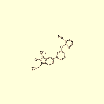 Cn1c(=O)n(CC2CC2)c2ccc(-c3cccc(Oc4ncccc4C#N)c3)cc21